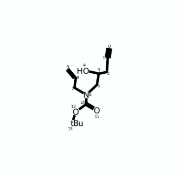 C#CCC(O)CN(CC=C)C(=O)OC(C)(C)C